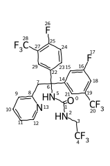 O=C(NCC(F)(F)F)NC(Cc1ccccn1)(c1cc(F)cc(C(F)(F)F)c1)c1ccc(F)c(C(F)(F)F)c1